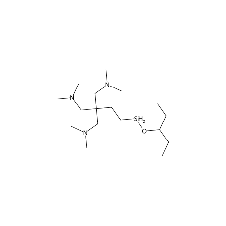 CCC(CC)O[SiH2]CCC(CN(C)C)(CN(C)C)CN(C)C